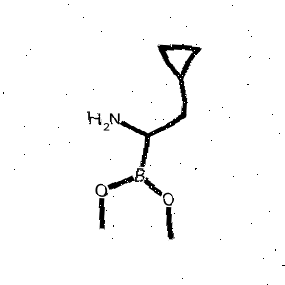 COB(OC)C(N)CC1CC1